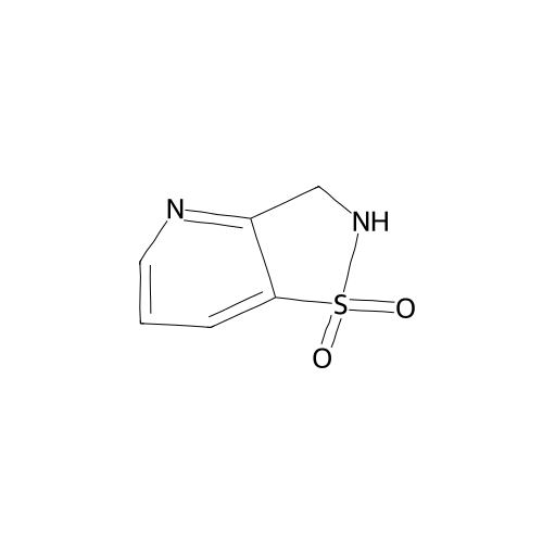 O=S1(=O)NCc2ncccc21